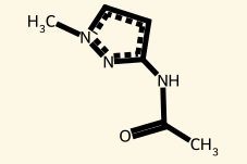 CC(=O)Nc1ccn(C)n1